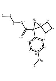 CCCOC(=O)C1(c2ccc(OC)cc2)OC12CCC2